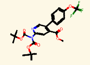 COC(=O)c1cc(N(C(=O)OC(C)(C)C)C(=O)OC(C)(C)C)ncc1-c1ccc(OC(F)(F)F)cc1